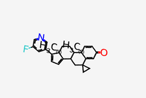 C[C@]12CCC3C(CC4(CC4)C4=CC(=O)C=C[C@@]43C)C1=CC=C2c1cncc(F)c1